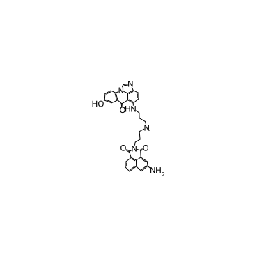 CN(CCCNc1ccc2ncn3c4ccc(O)cc4c(=O)c1c23)CCCN1C(=O)c2cccc3cc(N)cc(c23)C1=O